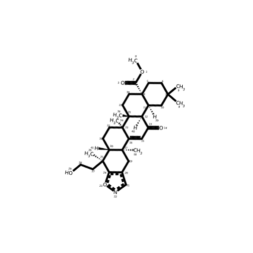 COC(=O)[C@]12CCC(C)(C)C[C@H]1[C@H]1C(=O)C=C3[C@@]4(C)Cc5cnoc5[C@@](C)(CCO)[C@@H]4CC[C@@]3(C)[C@]1(C)CC2